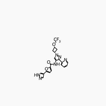 O=C(Nc1cn([C@H]2C[C@@H](OCC(F)(F)F)C2)nc1-c1ccccn1)c1ccc(-c2cn[nH]c2)o1